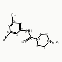 CCCN1CCN(C(=O)Nc2cc(F)cc(F)c2)CC1